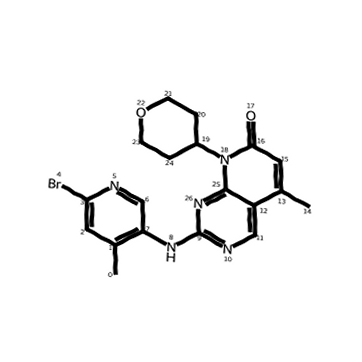 Cc1cc(Br)ncc1Nc1ncc2c(C)cc(=O)n(C3CCOCC3)c2n1